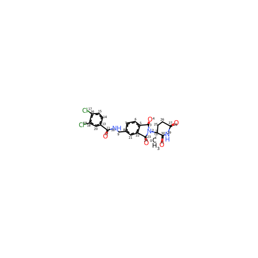 C[C@]1(N2C(=O)c3ccc(CNC(=O)c4ccc(Cl)c(Cl)c4)cc3C2=O)CCC(=O)NC1=O